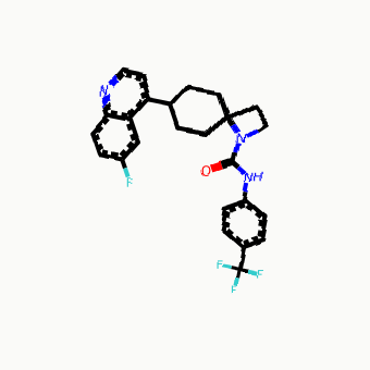 O=C(Nc1ccc(C(F)(F)F)cc1)N1CCC12CCC(c1ccnc3ccc(F)cc13)CC2